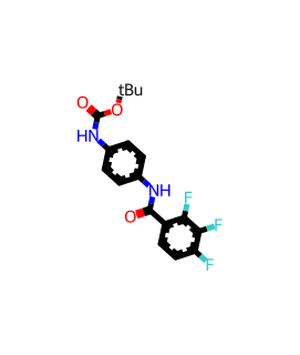 CC(C)(C)OC(=O)Nc1ccc(NC(=O)c2ccc(F)c(F)c2F)cc1